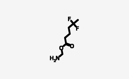 CC(F)(F)CCCC(=O)OCN